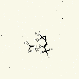 COC(=CC1CC1(C)C)C(F)(F)F.O=C(O)O